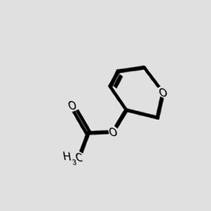 CC(=O)OC1C=CCOC1